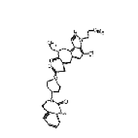 COCCn1ncc2c3c(cc(Cl)c21)C[C@@H](CC(=O)N1CCC(N2CCc4ccccc4NC2=O)CC1)C(=O)N(CC(F)(F)F)C3